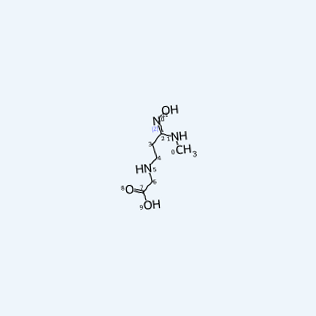 CN/C(CCNCC(=O)O)=N\O